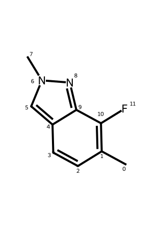 Cc1ccc2cn(C)nc2c1F